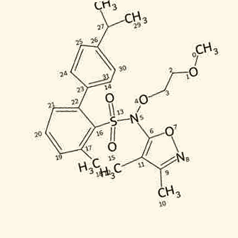 COCCON(c1onc(C)c1C)S(=O)(=O)c1c(C)cccc1-c1ccc(C(C)C)cc1